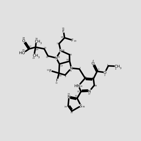 CCOC(=O)C1=C(CN2CC(F)(F)C3C2CN(CC(F)F)N3CCC(C)(C)C(=O)O)NC(c2nccs2)=NC1